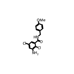 COc1ccc(CNC(=O)c2cc(Cl)cc(N)c2Cl)cc1